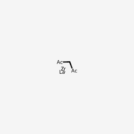 CC(=O)CC(C)=O.[La].[Zr]